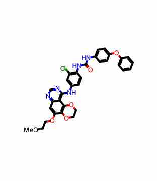 COCCOc1cc2ncnc(Nc3ccc(NC(=O)Nc4ccc(Oc5ccccc5)cc4)c(Cl)c3)c2c2c1OCCO2